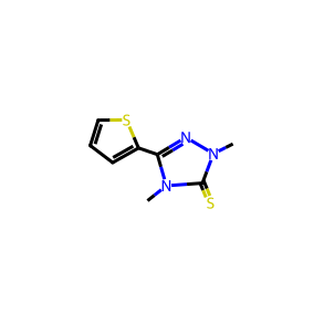 Cn1nc(-c2cccs2)n(C)c1=S